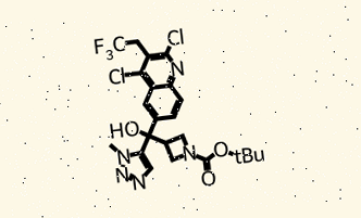 Cn1nncc1C(O)(c1ccc2nc(Cl)c(CC(F)(F)F)c(Cl)c2c1)C1CN(C(=O)OC(C)(C)C)C1